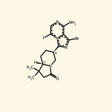 CC1(C)CC(=O)N2C[C@H](c3nc(Br)c4c(N)ncc(F)n34)CC[C@H]21